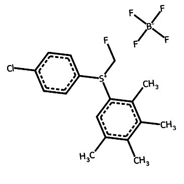 Cc1cc([S+](CF)c2ccc(Cl)cc2)c(C)c(C)c1C.F[B-](F)(F)F